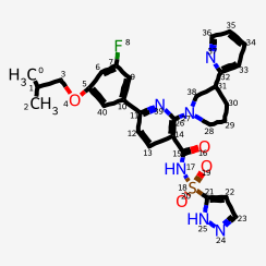 CC(C)COc1cc(F)cc(-c2ccc(C(=O)NS(=O)(=O)c3ccn[nH]3)c(N3CCCC(c4ccccn4)C3)n2)c1